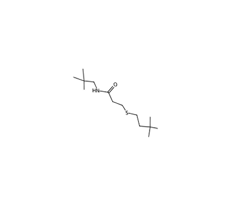 CC(C)(C)CCSCCC(=O)NCC(C)(C)C